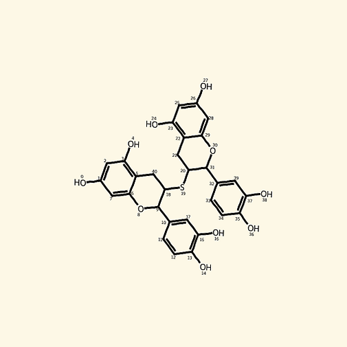 Oc1cc(O)c2c(c1)OC(c1ccc(O)c(O)c1)C(SC1Cc3c(O)cc(O)cc3OC1c1ccc(O)c(O)c1)C2